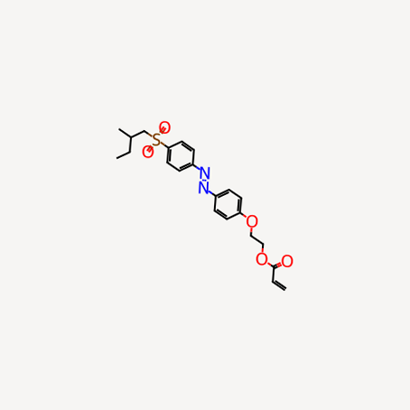 C=CC(=O)OCCOc1ccc(/N=N/c2ccc(S(=O)(=O)CC(C)CC)cc2)cc1